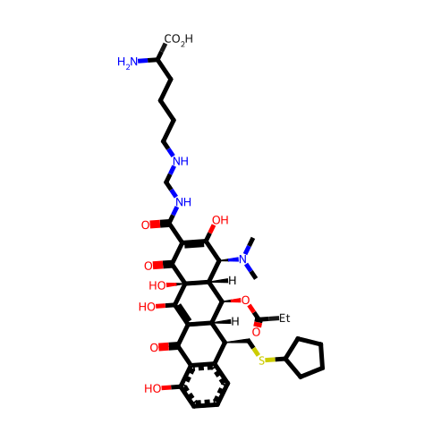 CCC(=O)O[C@H]1[C@H]2C(=C(O)[C@]3(O)C(=O)C(C(=O)NCNCCCCC(N)C(=O)O)=C(O)[C@@H](N(C)C)[C@H]13)C(=O)c1c(O)cccc1[C@@H]2CSC1CCCC1